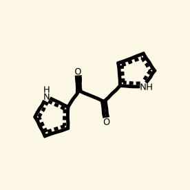 O=C(C(=O)c1ccc[nH]1)c1ccc[nH]1